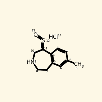 Cc1ccc2c(c1)CCNCC2=S=O.Cl